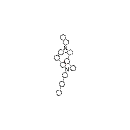 c1ccc(-c2ccc(-c3ccc(N(c4ccc(-c5ccccc5)cc4)c4ccccc4-c4cccc(-c5cccc6c5c5ccccc5n6-c5ccc6ccccc6c5)c4)cc3)cc2)cc1